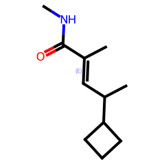 CNC(=O)/C(C)=C/C(C)C1CCC1